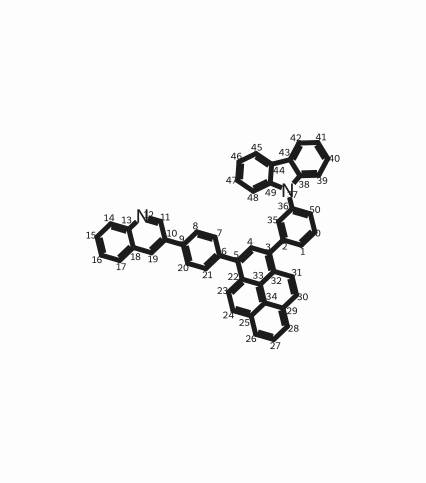 c1cc(-c2cc(-c3ccc(-c4cnc5ccccc5c4)cc3)c3ccc4cccc5ccc2c3c45)cc(-n2c3ccccc3c3ccccc32)c1